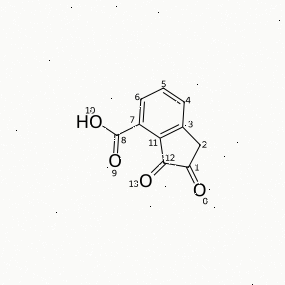 O=C1Cc2cccc(C(=O)O)c2C1=O